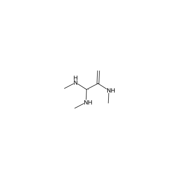 C=C(NC)[C](NC)NC